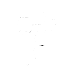 CSCC[C@H](N)C1=NC2(c3ccccc3Cl)CCCC(O1)C2=O